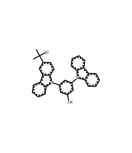 CCC(C)(C)c1ccc2c(c1)c1ccccc1n2-c1cc(C#N)cc(-n2c3ccccc3c3ccccc32)c1